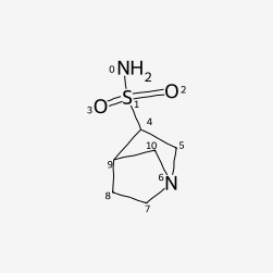 NS(=O)(=O)C1CN2CCC1C2